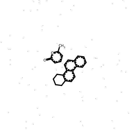 Cc1cccc(=O)o1.c1ccc2c(c1)ccc1c3c(ccc12)CCCC3